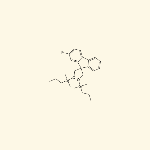 CCC[Si](C)(C)OCC1(CO[Si](C)(C)CCC)c2ccccc2-c2ccc(F)cc21